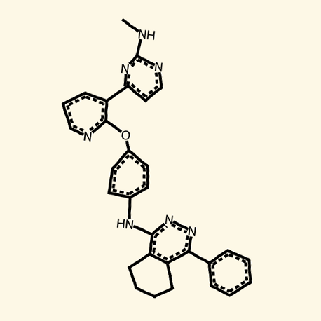 CNc1nccc(-c2cccnc2Oc2ccc(Nc3nnc(-c4ccccc4)c4c3CCCC4)cc2)n1